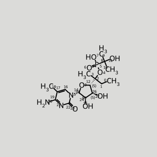 CCC(C)(OP(=O)(O)C(C)(C)O)[C@H]1O[C@@H](n2cc(C)c(N)nc2=O)[C@H](O)[C@@H]1O